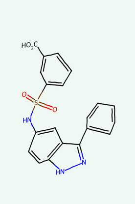 O=C(O)c1cccc(S(=O)(=O)Nc2ccc3[nH]nc(-c4ccccc4)c3c2)c1